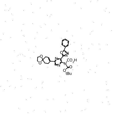 CC(C)(C)OC(=O)N(C(=O)O)c1ncc(C2=CCC3(CC2)OCCO3)nc1-c1nnc(-c2ccccc2)o1